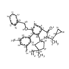 C[C@H](NC(=O)c1cnc(OCc2ccccc2)c(-c2cc(F)cc(F)c2)c1N1CC[C@](C)(N)C1)C1CC1